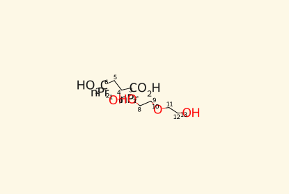 CCCOCCC.O=C(O)CCC(=O)O.OCCOCCO